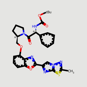 Cc1nn2cc(-c3nc4c(OC[C@H]5CCCN5C(=O)[C@H](NC(=O)OC(C)(C)C)c5ccccc5)cccc4o3)nc2s1